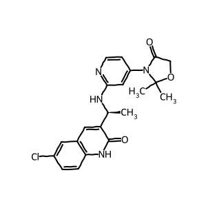 C[C@H](Nc1cc(N2C(=O)COC2(C)C)ccn1)c1cc2cc(Cl)ccc2[nH]c1=O